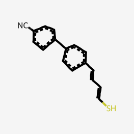 N#Cc1ccc(-c2ccc(/C=C/C=C/S)cc2)cc1